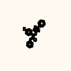 O=C(Cc1ccccc1)N(Cc1csc(N2CCCCC2)n1)c1ccc(F)cc1